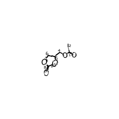 O=C(I)OCC1COC(=O)O1